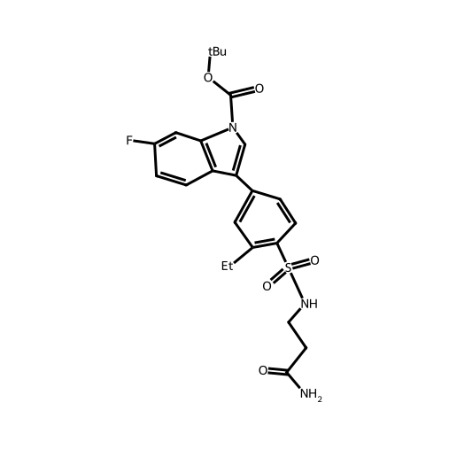 CCc1cc(-c2cn(C(=O)OC(C)(C)C)c3cc(F)ccc23)ccc1S(=O)(=O)NCCC(N)=O